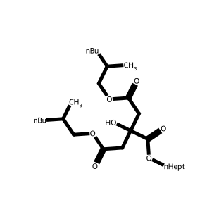 CCCCCCCOC(=O)C(O)(CC(=O)OCC(C)CCCC)CC(=O)OCC(C)CCCC